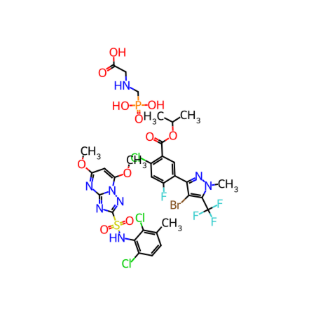 CC(C)OC(=O)c1cc(-c2nn(C)c(C(F)(F)F)c2Br)c(F)cc1Cl.COc1cc(OC)n2nc(S(=O)(=O)Nc3c(Cl)ccc(C)c3Cl)nc2n1.O=C(O)CNCP(=O)(O)O